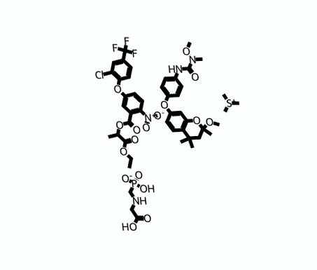 CCOC(=O)C(C)OC(=O)c1cc(Oc2ccc(C(F)(F)F)cc2Cl)ccc1[N+](=O)[O-].CON(C)C(=O)Nc1ccc(Oc2ccc3c(c2)OC(C)(OC)CC3(C)C)cc1.C[S+](C)C.O=C(O)CNCP(=O)([O-])O